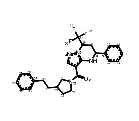 O=C(c1cnn2c1NC(c1ccccc1)CC2C(F)(F)F)N1CCC(CCc2ccccc2)C1